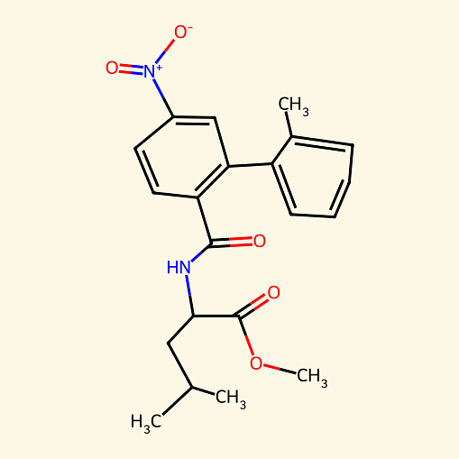 COC(=O)C(CC(C)C)NC(=O)c1ccc([N+](=O)[O-])cc1-c1ccccc1C